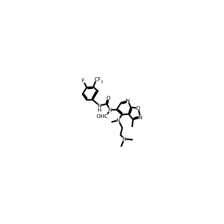 Cc1noc2ncc(N(C=O)C(=O)Nc3ccc(F)c(C(F)(F)F)c3)c(N(C)CCN(C)C)c12